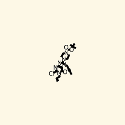 C=CCn1c(Cl)nc2nc(N3CCN(C(=O)OC(C)(C)C)CC3)n(CC#CC)c2c1=O